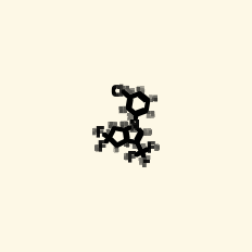 FC1(F)Cc2c(C(F)(F)F)cn(-c3cccc(Cl)c3)c2C1